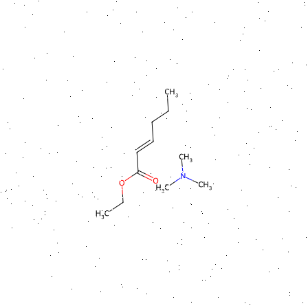 CCCC=CC(=O)OCC.CN(C)C